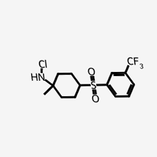 CC1(NCl)CCC(S(=O)(=O)c2cccc(C(F)(F)F)c2)CC1